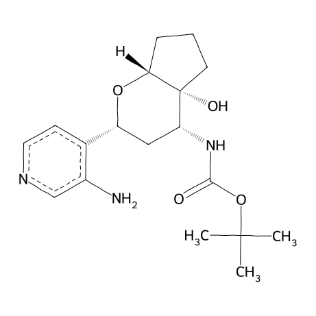 CC(C)(C)OC(=O)N[C@@H]1C[C@H](c2ccncc2N)O[C@@H]2CCC[C@@]12O